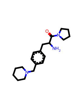 NC(Cc1ccc(CN2CCCCC2)cc1)C(=O)N1CCCC1